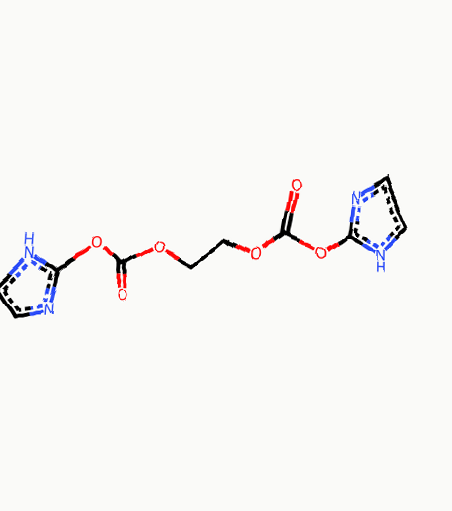 O=C(OCCOC(=O)Oc1ncc[nH]1)Oc1ncc[nH]1